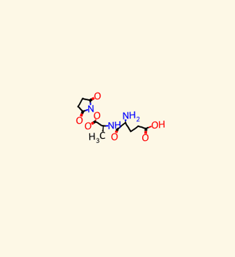 C[C@H](NC(=O)[C@@H](N)CCC(=O)O)C(=O)ON1C(=O)CCC1=O